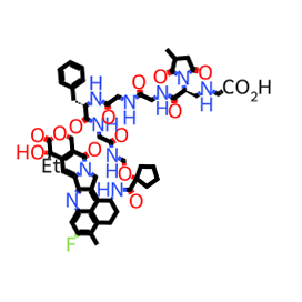 CC[C@@]1(O)C(=O)OCc2c1cc1n(c2=O)Cc2c-1nc1cc(F)c(C)c3c1c2[C@@H](NC(=O)C1(OCNC(=O)CNC(=O)[C@H](Cc2ccccc2)NC(=O)CNC(=O)CNC(=O)[C@H](CNCC(=O)O)N2C(=O)CC(C)C2=O)CCCC1)CC3